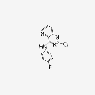 Fc1ccc(Nc2nc(Cl)nc3cccnc23)cc1